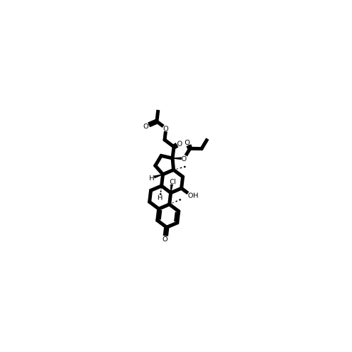 CCC(=O)O[C@]1(C(=O)COC(C)=O)CC[C@H]2[C@@H]3CCC4=CC(=O)C=C[C@]4(C)[C@@]3(Cl)C(O)C[C@@]21C